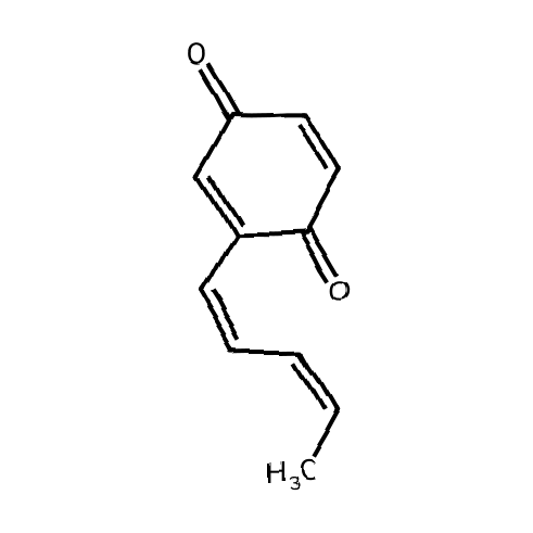 C/C=C\C=C/C1=CC(=O)C=CC1=O